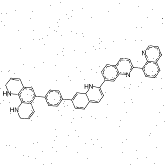 C1=Cc2cc(-c3ccc(C4=CC5NC(c6ccc7ccc(-c8cccc9cccnc89)nc7c6)=CC=C5C=C4)cc3)c3c(c2NC1)NCC=C3